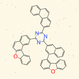 c1ccc2c(-c3cccc4oc5ccccc5c34)cc(-c3nc(-c4ccc5ccc6ccccc6c5c4)nc(-c4ccc5ccc6oc7ccccc7c6c5c4)n3)cc2c1